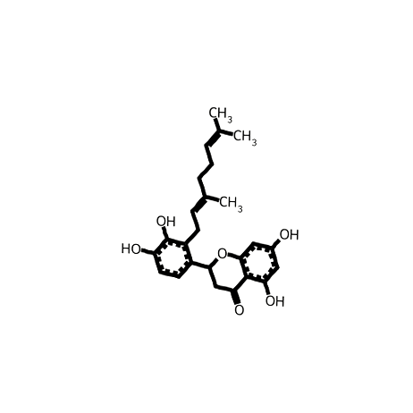 CC(C)=CCC/C(C)=C/Cc1c(C2CC(=O)c3c(O)cc(O)cc3O2)ccc(O)c1O